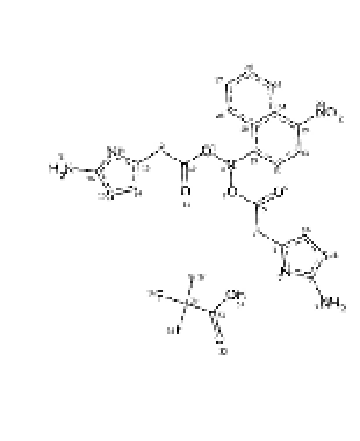 Nc1nc(CC(=O)ON(OC(=O)Cc2csc(N)n2)c2ccc([N+](=O)[O-])c3ccccc23)cs1.O=C(O)C(F)(F)F